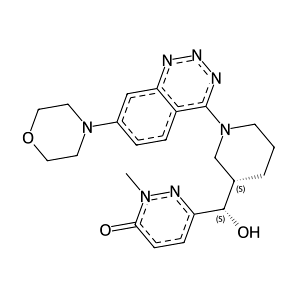 Cn1nc([C@@H](O)[C@H]2CCCN(c3nnnc4cc(N5CCOCC5)ccc34)C2)ccc1=O